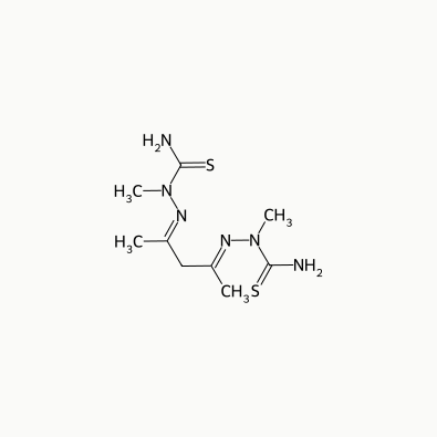 CC(CC(C)=NN(C)C(N)=S)=NN(C)C(N)=S